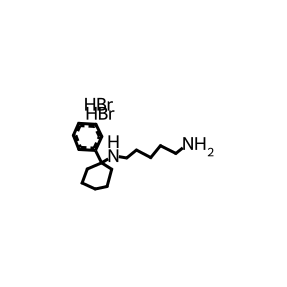 Br.Br.NCCCCCNC1(c2ccccc2)CCCCC1